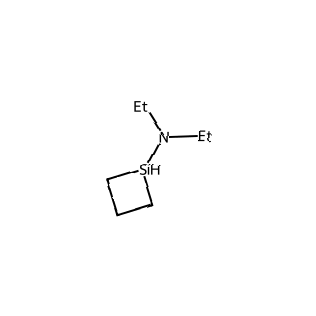 CCN(CC)[SiH]1CCC1